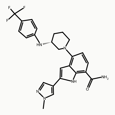 Cn1cc(-c2cc3c(N4CCC[C@@H](Nc5ccc(C(F)(F)F)cc5)C4)ccc(C(N)=O)c3[nH]2)cn1